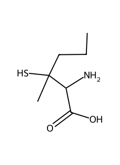 CCCC(C)(S)C(N)C(=O)O